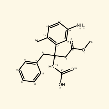 COC(=O)CC(Cc1ccccc1)(NC(=O)O)c1cc(N)ccc1C